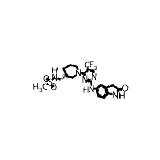 CS(=O)(=O)NC[C@@H]1CCCN(c2nc(Nc3ccc4c(c3)CC(=O)N4)ncc2C(F)(F)F)C1